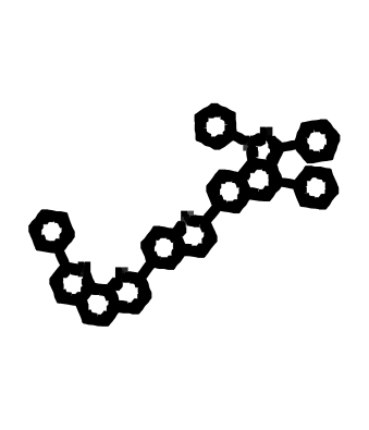 c1ccc(-c2ccc3ccc4ccc(-c5ccc6nc(-c7ccc8c(c7)cc(-c7ccccc7)c7c(-c9ccccc9)nn(-c9ccccc9)c78)ccc6c5)nc4c3n2)cc1